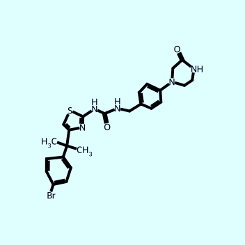 CC(C)(c1ccc(Br)cc1)c1csc(NC(=O)NCc2ccc(N3CCNC(=O)C3)cc2)n1